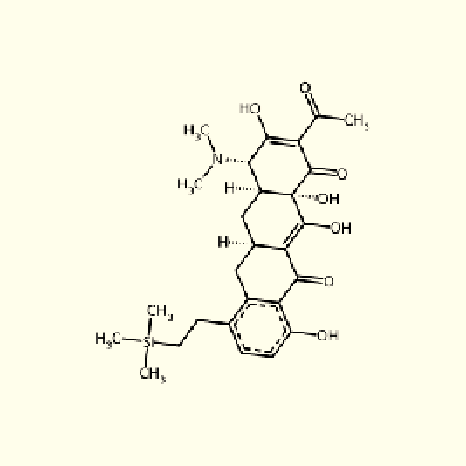 CC(=O)C1=C(O)[C@@H](N(C)C)[C@@H]2C[C@@H]3Cc4c(CC[Si](C)(C)C)ccc(O)c4C(=O)C3=C(O)[C@]2(O)C1=O